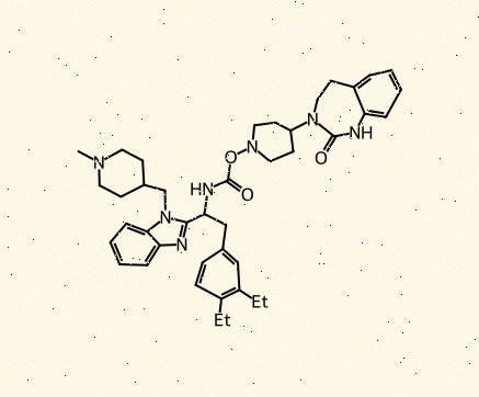 CCc1ccc(CC(NC(=O)ON2CCC(N3CCc4ccccc4NC3=O)CC2)c2nc3ccccc3n2CC2CCN(C)CC2)cc1CC